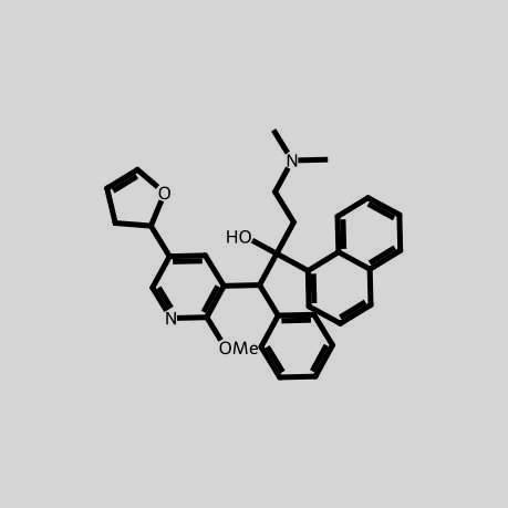 COc1ncc(C2CC=CO2)cc1C(c1ccccc1)C(O)(CCN(C)C)c1cccc2ccccc12